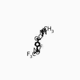 Cn1cnc(COCC(=O)c2ccc(-c3noc(C(F)(F)F)n3)c(F)c2)n1